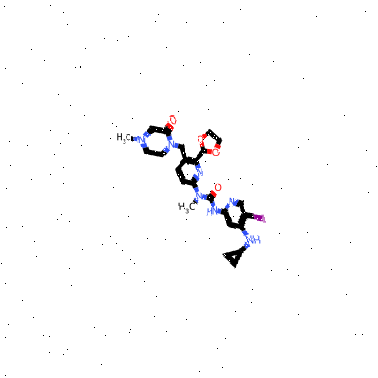 CN1CCN(Cc2ccc(N(C)C(=O)Nc3cc(NC4CC4)c(I)cn3)nc2C2OCCO2)C(=O)C1